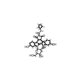 O=C1c2c(c3c4ccc(O)cc4n(C4OC(CO)C(O)CC4O)c3c3[nH]c4cc(O)ccc4c23)C(=O)N1NCc1ccsc1